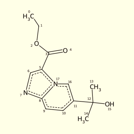 CCOC(=O)c1cnc2ccc(C(C)(C)O)cn12